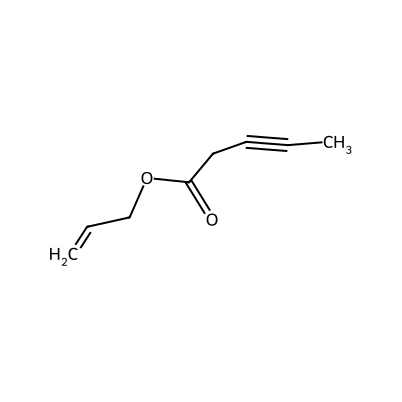 C=CCOC(=O)CC#CC